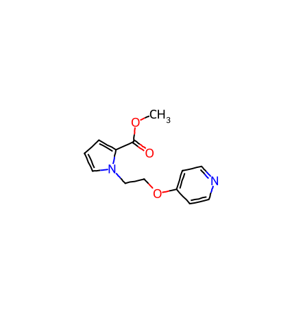 COC(=O)c1cccn1CCOc1ccncc1